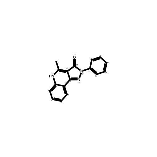 Cc1[nH]c2ccccc2c2nn(-c3ccccc3)c(=O)c1-2